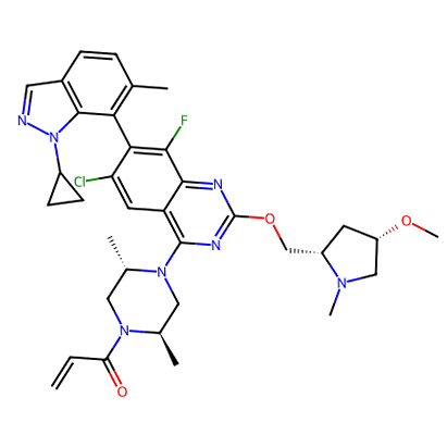 C=CC(=O)N1C[C@H](C)N(c2nc(OC[C@@H]3C[C@H](OC)CN3C)nc3c(F)c(-c4c(C)ccc5cnn(C6CC6)c45)c(Cl)cc23)C[C@H]1C